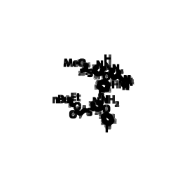 CCCCC(CC)COC(=O)CCSc1cnc(N)c(Oc2ccc(F)cc2)c1.COCC(C)Sc1cnc(Nc2ccc(-c3nnn[nH]3)cn2)c(Oc2ccc(F)cc2)c1